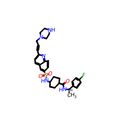 C[C@@H](NC(=O)C1CCC(NS(=O)(=O)c2ccc3nc(C#CCN4CCNCC4)ccc3c2)CC1)c1ccc(F)cc1